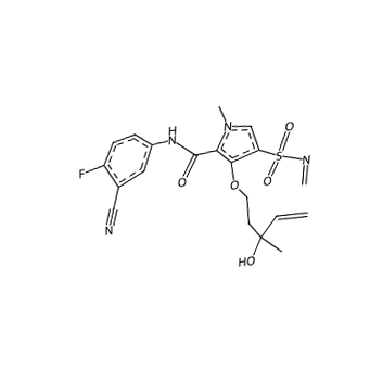 C=CC(C)(O)CCOc1c(S(=O)(=O)N=C)cn(C)c1C(=O)Nc1ccc(F)c(C#N)c1